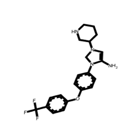 NC1=CN(C2CCCNC2)CN1c1ccc(Oc2ccc(C(F)(F)F)cc2)cc1